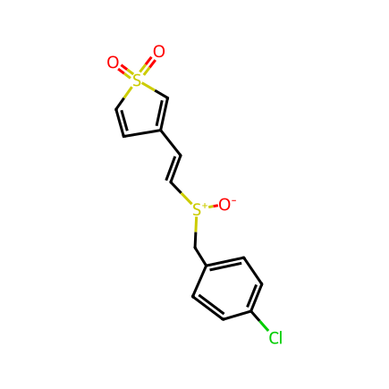 O=S1(=O)C=CC(C=C[S+]([O-])Cc2ccc(Cl)cc2)=C1